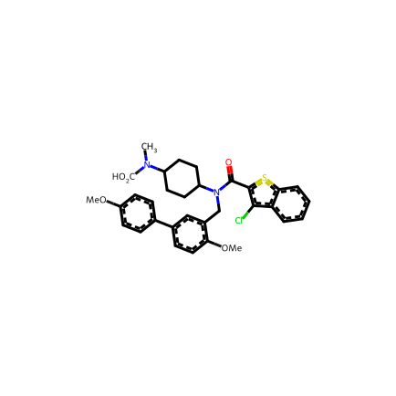 COc1ccc(-c2ccc(OC)c(CN(C(=O)c3sc4ccccc4c3Cl)C3CCC(N(C)C(=O)O)CC3)c2)cc1